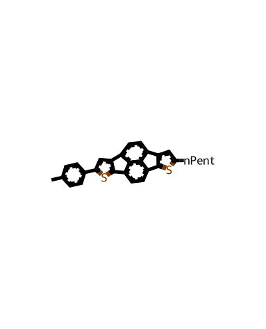 CCCCCc1cc2c(s1)-c1ccc3c4c(ccc-2c14)-c1cc(-c2ccc(C)cc2)sc1-3